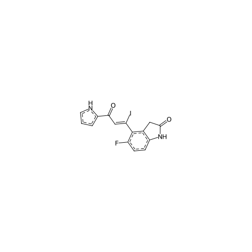 O=C1Cc2c(ccc(F)c2C(I)=CC(=O)c2ccc[nH]2)N1